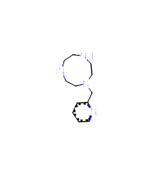 c1ccc(CN2CCNCCNCC2)nc1